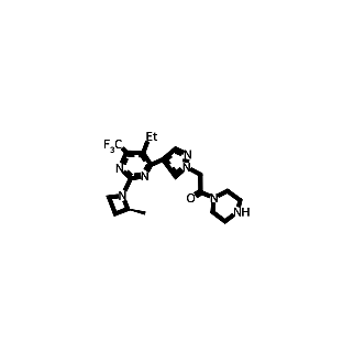 CCc1c(-c2cnn(CC(=O)N3CCNCC3)c2)nc(N2CC[C@@H]2C)nc1C(F)(F)F